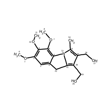 COc1cc2c(c(OC)c1OC)-n1c(C)c(CO)c(CO)c1C2